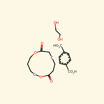 O=C(O)c1ccc(C(=O)O)cc1.O=C1CCCCC(=O)OCCCCO1.OCCO